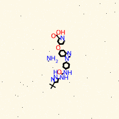 CC(C)(C)c1cc(NC(=O)Nc2ccc(-n3cnc4cc(Oc5ccnc(C(=O)O)c5)ccc43)cc2)[nH]n1.CN